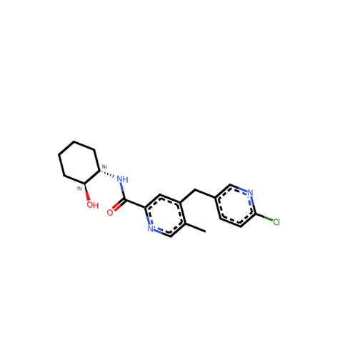 Cc1cnc(C(=O)N[C@H]2CCCC[C@@H]2O)cc1Cc1ccc(Cl)nc1